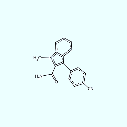 Cn1c(C(N)=O)c(-c2ccc(C#N)cc2)c2cc[c]cc21